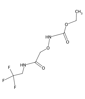 CCOC(=O)NOCC(=O)NCC(F)(F)F